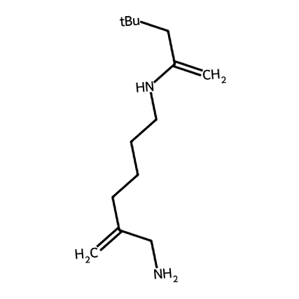 C=C(CN)CCCCNC(=C)CC(C)(C)C